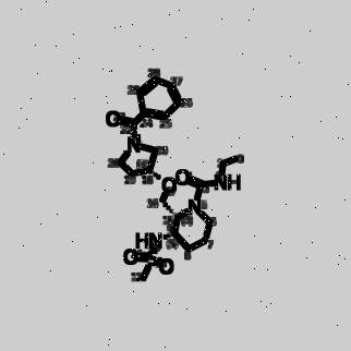 CCNC(=O)N1CCC[C@H](NS(C)(=O)=O)[C@@H]1CO[C@@H]1CCN(C(=O)c2ccccc2)C1